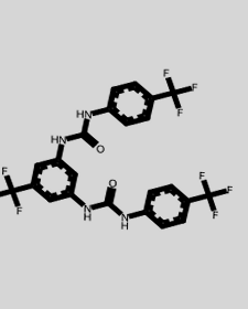 O=C(Nc1ccc(C(F)(F)F)cc1)Nc1cc(NC(=O)Nc2ccc(C(F)(F)F)cc2)cc(C(F)(F)F)c1